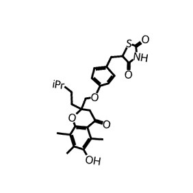 Cc1c(C)c2c(c(C)c1O)C(=O)CC(CCC(C)C)(COc1ccc(CC3SC(=O)NC3=O)cc1)O2